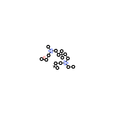 CC1(C)c2ccccc2-c2c(-c3ccc(-c4nc(-c5cccc(-c6ccccc6)c5)nc(-c5cccc(-c6cccc(C7(c8ccccc8)c8ccccc8-c8c(-c9cccc(-c%10nc(-c%11ccccc%11)nc(-c%11ccc(-c%12cccc%13c%12oc%12ccccc%12%13)cc%11)n%10)c9)cccc87)c6)c5)n4)cc3)cccc21